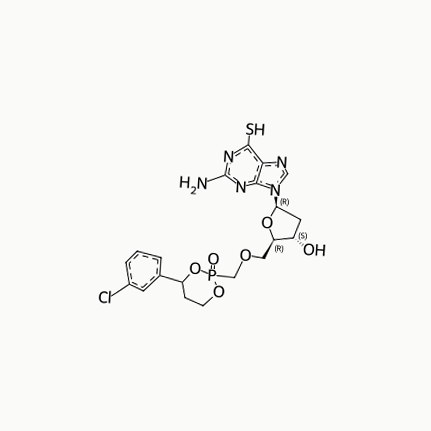 Nc1nc(S)c2ncn([C@H]3C[C@H](O)[C@@H](COCP4(=O)OCCC(c5cccc(Cl)c5)O4)O3)c2n1